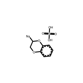 O=S(=O)(O)O.[Na][CH]1COc2ccccc2O1